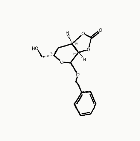 O=C1O[C@@H]2C[C@@H](CO)OC(OCc3ccccc3)[C@@H]2O1